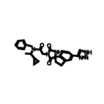 CC(C1CC1)N(Cc1ccccc1)C(=O)CN1C(=O)NC2(CCc3cc(-c4c[nH]nn4)ccc32)C1=O